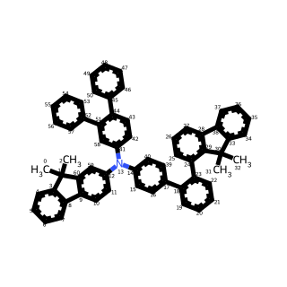 CC1(C)c2ccccc2-c2ccc(N(c3ccc(-c4ccccc4-c4cccc5c4C(C)(C)c4ccccc4-5)cc3)c3ccc(-c4ccccc4)c(-c4ccccc4)c3)cc21